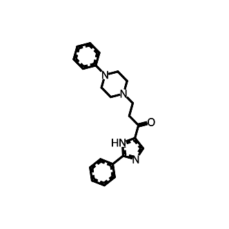 O=C(CCN1CCN(c2ccccc2)CC1)c1cnc(-c2ccccc2)[nH]1